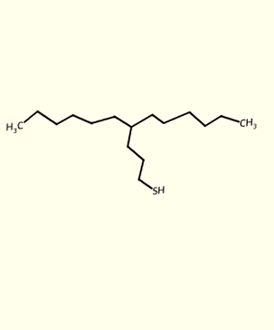 CCCCCCC(CCCS)CCCCCC